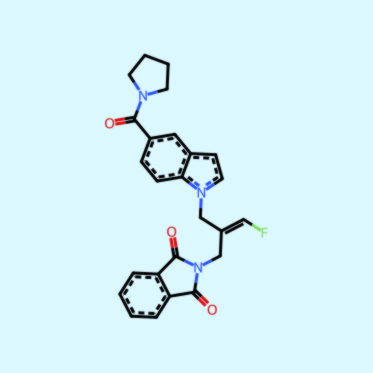 O=C(c1ccc2c(ccn2CC(=CF)CN2C(=O)c3ccccc3C2=O)c1)N1CCCC1